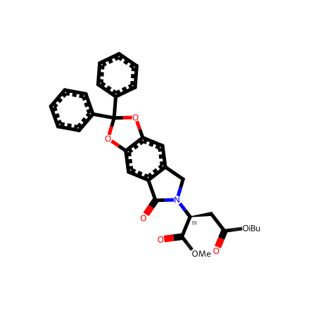 COC(=O)[C@H](CC(=O)OCC(C)C)N1Cc2cc3c(cc2C1=O)OC(c1ccccc1)(c1ccccc1)O3